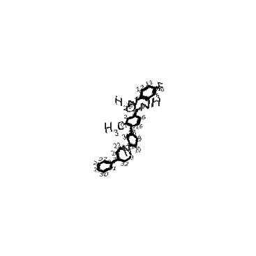 Cc1cc(C(=O)Nc2cc(F)ccc2N)ccc1C1CCC(N2CCC(c3ccccc3)CC2)C1